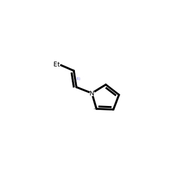 CC/C=C/n1[c]ccc1